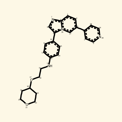 c1cc(-c2ccc3ncc(-c4ccc(NCCOC5CCOCC5)cc4)n3c2)ccn1